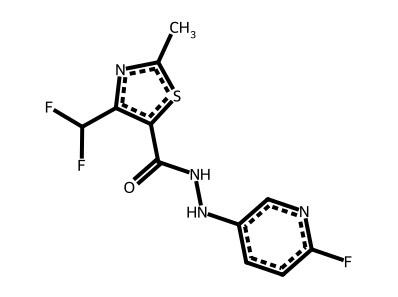 Cc1nc(C(F)F)c(C(=O)NNc2ccc(F)nc2)s1